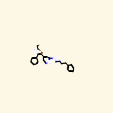 CCc1nc(-c2cccc(C)c2)c(-c2ccnc(NCCCCc3ccccc3)c2)s1